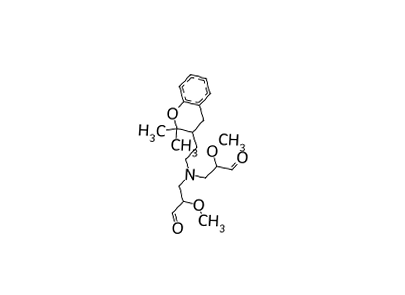 COC(C=O)CN(CCC1Cc2ccccc2OC1(C)C)CC(C=O)OC